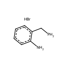 Br.Nc1ccccc1CP